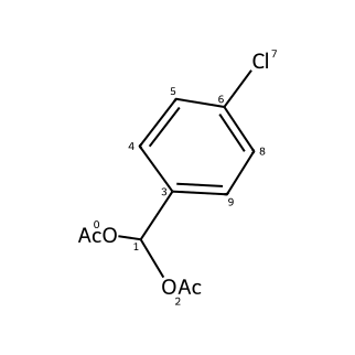 CC(=O)OC(OC(C)=O)c1ccc(Cl)cc1